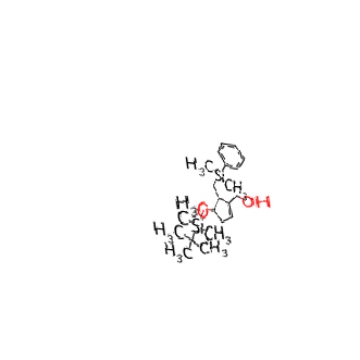 CC(C)(C)[Si](C)(C)OC1CC=C(CO)C1C[Si](C)(C)c1ccccc1